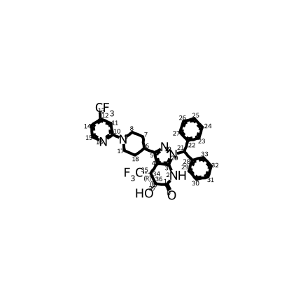 O=C1Nc2c(c(C3CCN(c4cc(C(F)(F)F)ccn4)CC3)nn2C(c2ccccc2)c2ccccc2)[C@@H](C(F)(F)F)[C@H]1O